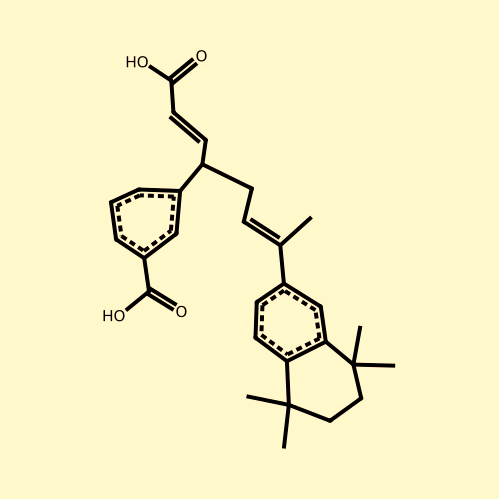 CC(=CCC(C=CC(=O)O)c1cccc(C(=O)O)c1)c1ccc2c(c1)C(C)(C)CCC2(C)C